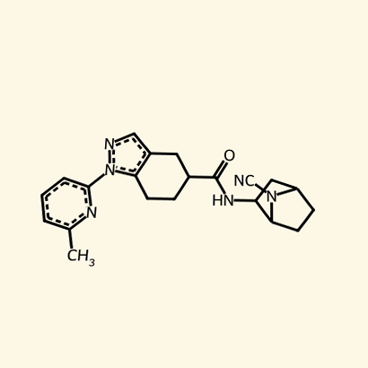 Cc1cccc(-n2ncc3c2CCC(C(=O)NC2CC4CCC2N4C#N)C3)n1